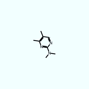 Cc1[c]nc(N(C)C)nc1C